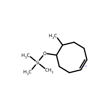 CC1CC/C=C\CCC1O[Si](C)(C)C